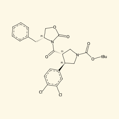 CC(C)(C)OC(=O)N1C[C@@H](C(=O)N2C(=O)OC[C@H]2Cc2ccccc2)[C@H](c2ccc(Cl)c(Cl)c2)C1